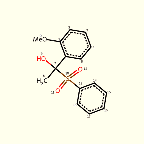 COc1ccccc1C(C)(O)S(=O)(=O)c1ccccc1